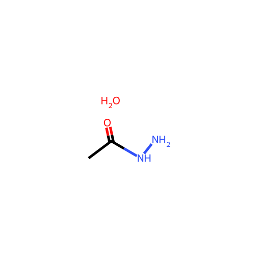 CC(=O)NN.O